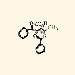 C[C@@H](OC(=O)c1ccccc1)[C@H](OC(=O)c1ccccc1)C(=O)O